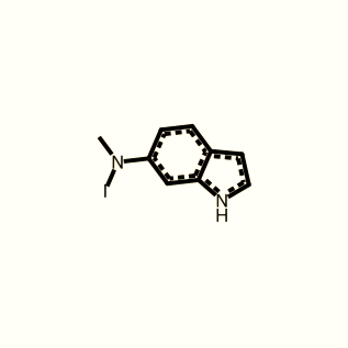 CN(I)c1ccc2cc[nH]c2c1